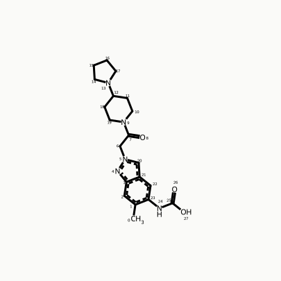 Cc1cc2nn(CC(=O)N3CCC(N4CCCC4)CC3)cc2cc1NC(=O)O